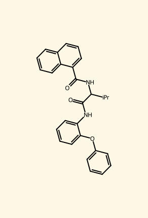 CC(C)C(NC(=O)c1cccc2ccccc12)C(=O)Nc1ccccc1Oc1ccccc1